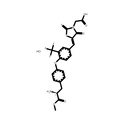 COC(=O)[C@@H](N)Cc1ccc(Oc2ccc(/C=C3\SC(=S)N(CC(=O)O)C3=O)cc2C(F)(F)F)cc1.Cl